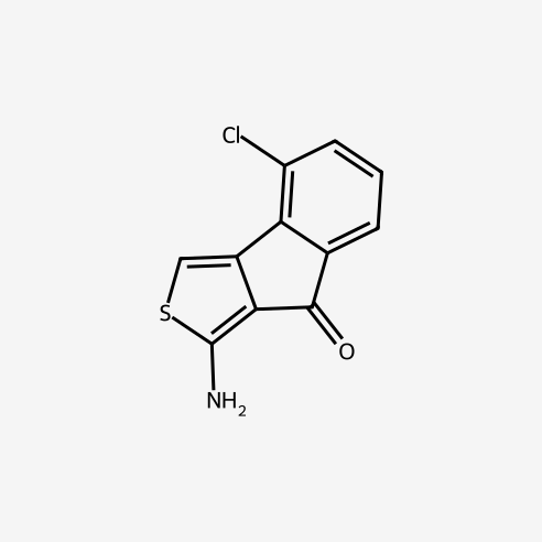 Nc1scc2c1C(=O)c1cccc(Cl)c1-2